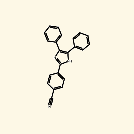 N#Cc1ccc(-c2nc(-c3ccccc3)c(-c3ccccc3)[nH]2)cc1